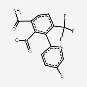 NC(=O)c1ccc(C(F)(F)F)c(-c2ccc(Cl)cn2)c1[N+](=O)[O-]